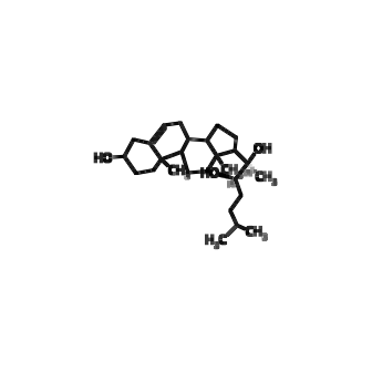 CC(C)CC[C@@H](O)[C@](C)(O)C1CCC2C3CC=C4CC(O)CCC4(C)C3CCC21C